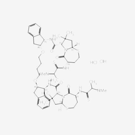 CNC(C)C(=S)N[C@H]1CCS[C@H]2CC(C)(C)[C@@H](C(=O)N[C@H]3c4ccccc4C[C@H]3OCCCCO[C@@H]3Cc4ccccc4[C@@H]3NC(=O)[C@H]3N4C(=O)[C@@H](NC(=S)C(C)NC)CCS[C@H]4CC3(C)C)N2C1=O.Cl.Cl